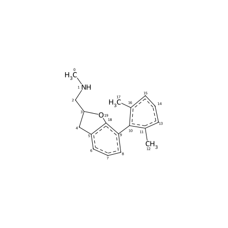 CNCC1Cc2cccc(-c3c(C)cccc3C)c2O1